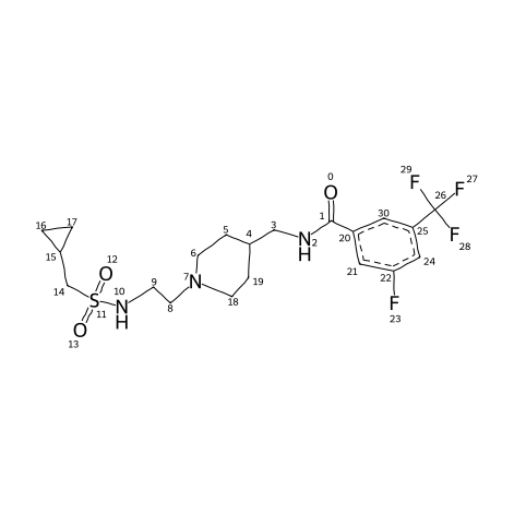 O=C(NCC1CCN(CCNS(=O)(=O)CC2CC2)CC1)c1cc(F)cc(C(F)(F)F)c1